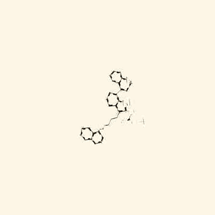 O=C(O)Oc1[nH]c2c(-c3ccnc4ccccc34)cccc2c1CCCOc1cccc2ccccc12